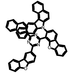 c1ccc2cc(-c3nc(-c4ccc5oc6ccccc6c5c4)nc(-c4c(-n5c6cc7ccccc7cc6c6c7ccccc7ccc65)ccc5c4oc4ccccc45)n3)ccc2c1